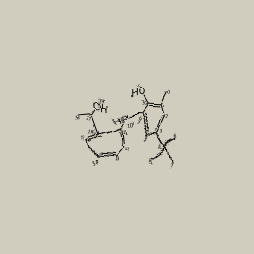 Cc1cc(C(C)(C)C)cc(Pc2ccccc2C(C)O)c1O